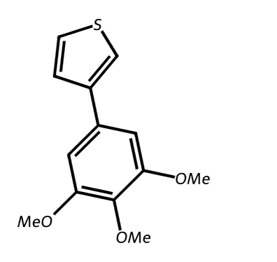 COc1cc(-c2ccsc2)cc(OC)c1OC